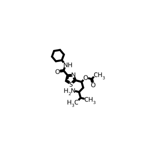 CC(=O)OC(CC(N)C(C)C)c1nc(C(=O)NC2CCCCC2)cs1